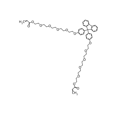 C=CC(=O)OCCOCCOCCOCCOCCOc1ccc(C2(c3ccc(OCCOCCOCCOCCOCCOC(=O)C=C)cc3)c3ccccc3-c3ccccc32)cc1